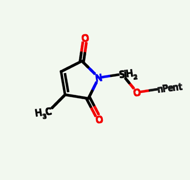 CCCCCO[SiH2]N1C(=O)C=C(C)C1=O